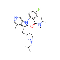 Cc1cncc2c1c(C[C@H]1CCN(CC(C)C)C1)cn2-c1ccc(F)cc1C(=O)N(C)C(C)C